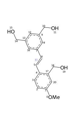 COc1ccc(/C=C/c2cc(CO)cc(CO)c2)c(CO)c1